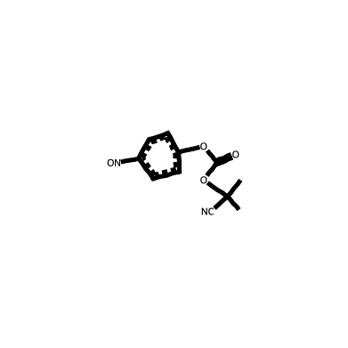 CC(C)(C#N)OC(=O)Oc1ccc(N=O)cc1